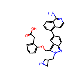 Nc1nccc2c(-c3ccc4nn(CC5CNC5)c(COc5ccccc5CC(=O)O)c4c3)cccc12